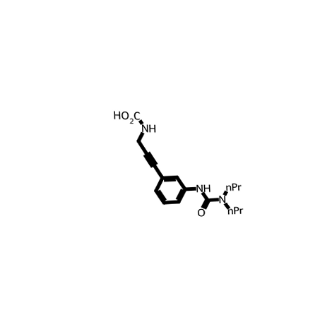 CCCN(CCC)C(=O)Nc1cccc(C#CCNC(=O)O)c1